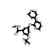 CNC(=O)c1cc(Oc2ncccc2-c2ccncc2)cc(OC(F)(F)F)c1